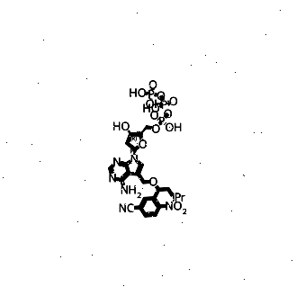 CC(C)CC(OCc1cn([C@H]2C[C@@H](O)[C@@H](COP(=O)(O)OP(=O)(O)OP(=O)(O)O)O2)c2ncnc(N)c12)c1cc(C#N)ccc1[N+](=O)[O-]